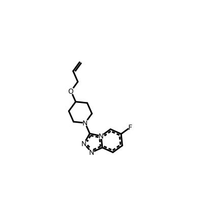 C=CCOC1CCN(c2nnc3ccc(F)cn23)CC1